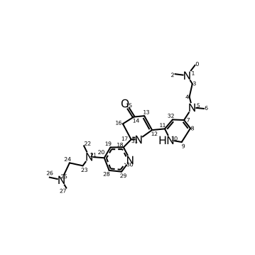 CN(C)CCN(C)C1=CCNC(C2=CC(=O)CC(c3cc(N(C)CCN(C)C)ccn3)=N2)=C1